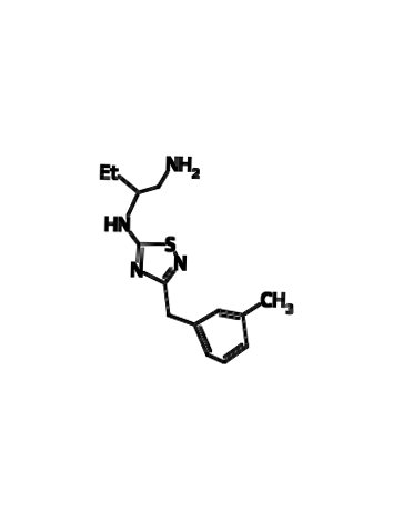 CCC(CN)Nc1nc(Cc2cccc(C)c2)ns1